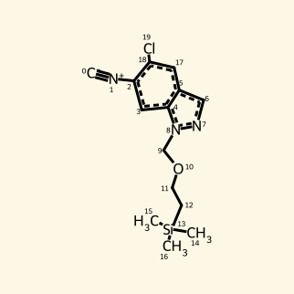 [C-]#[N+]c1cc2c(cnn2COCC[Si](C)(C)C)cc1Cl